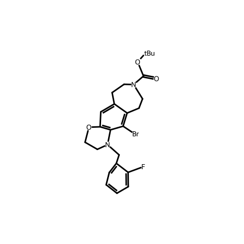 CC(C)(C)OC(=O)N1CCc2cc3c(c(Br)c2CC1)N(Cc1ccccc1F)CCO3